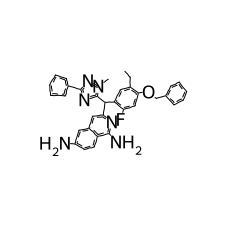 CCc1cc(C(c2cc3cc(N)ccc3c(N)n2)c2nc(-c3ccccc3)nn2C)c(F)cc1OCc1ccccc1